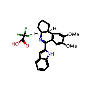 COc1cc2c(cc1OC)[C@@H]1CCCC[C@@H]1N=C2c1cc2ccccc2[nH]1.O=C(O)C(F)(F)F